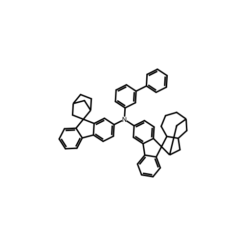 c1ccc(-c2cccc(N(c3ccc4c(c3)-c3ccccc3C43C4CC5CCCC3C(C5)C4)c3ccc4c(c3)C3(CC5CCC3C5)c3ccccc3-4)c2)cc1